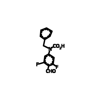 O=Cc1c(F)cc(N(Cc2ccccc2)C(=O)O)cc1F